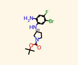 CC(C)(C)OC(=O)N1CC[C@@H](Nc2cc(Br)c(F)cc2N)C1